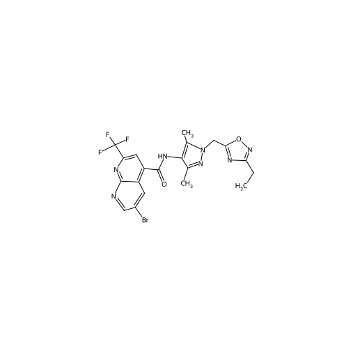 CCc1noc(Cn2nc(C)c(NC(=O)c3cc(C(F)(F)F)nc4ncc(Br)cc34)c2C)n1